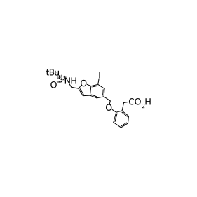 CC(C)(C)[S@@+]([O-])NCc1cc2cc(COc3ccccc3CC(=O)O)cc(I)c2o1